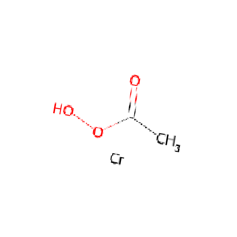 CC(=O)OO.[Cr]